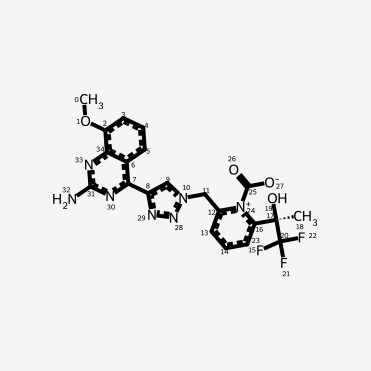 COc1cccc2c(-c3cn(Cc4cccc([C@@](C)(O)C(F)(F)F)[n+]4C(=O)[O-])nn3)nc(N)nc12